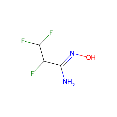 NC(=NO)C(F)C(F)F